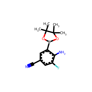 CC1(C)OB(c2cc(C#N)cc(F)c2N)OC1(C)C